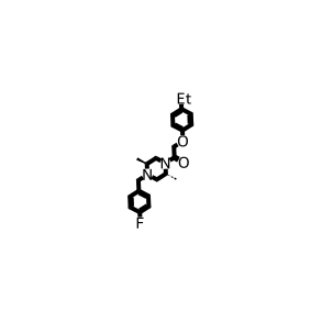 CCc1ccc(OCC(=O)N2C[C@H](C)N(Cc3ccc(F)cc3)C[C@H]2C)cc1